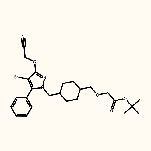 CC(C)(C)OC(=O)COCC1CCC(Cn2nc(OCC#N)c(Br)c2-c2ccccc2)CC1